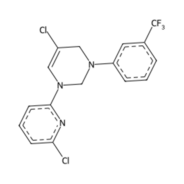 FC(F)(F)c1cccc(N2CC(Cl)=CN(c3cccc(Cl)n3)C2)c1